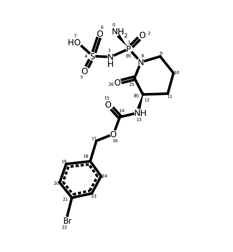 N[P@](=O)(NS(=O)(=O)O)N1CCC[C@@H](NC(=O)OCc2ccc(Br)cc2)C1=O